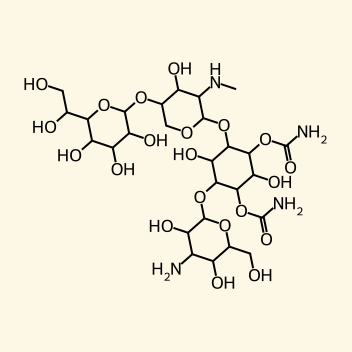 CNC1C(OC2C(O)C(OC3OC(CO)C(O)C(N)C3O)C(OC(N)=O)C(O)C2OC(N)=O)OCC(OC2OC(C(O)CO)C(O)C(O)C2O)C1O